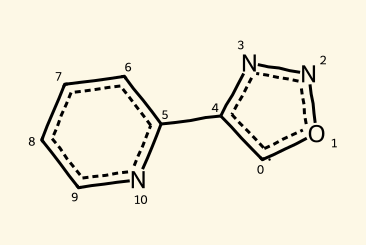 [c]1onnc1-c1ccccn1